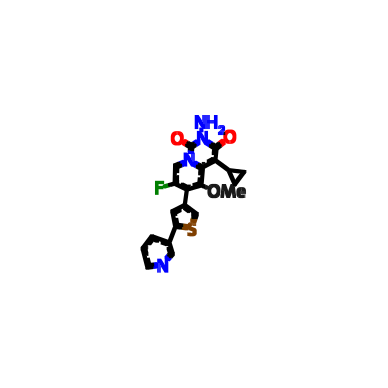 COc1c(-c2csc(-c3cccnc3)c2)c(F)cn2c(=O)n(N)c(=O)c(C3CC3)c12